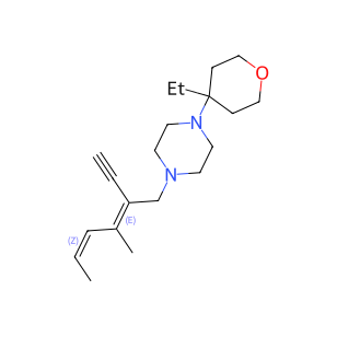 C#C/C(CN1CCN(C2(CC)CCOCC2)CC1)=C(C)\C=C/C